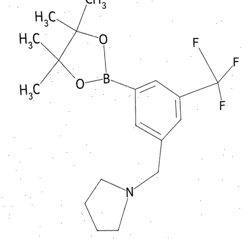 CC1(C)OB(c2cc(CN3CCCC3)cc(C(F)(F)F)c2)OC1(C)C